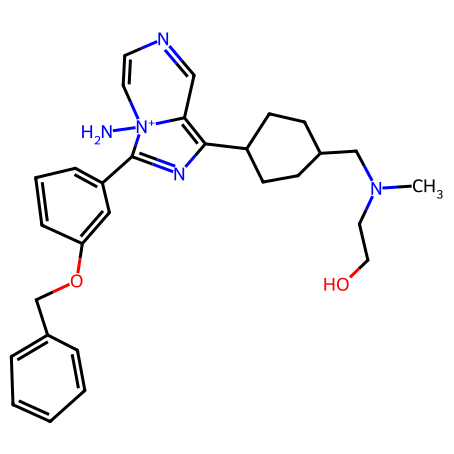 CN(CCO)CC1CCC(C2=C3C=NC=C[N+]3(N)C(c3cccc(OCc4ccccc4)c3)=N2)CC1